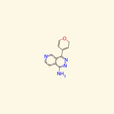 Nc1nnc(C2=CCOC=C2)c2cnccc12